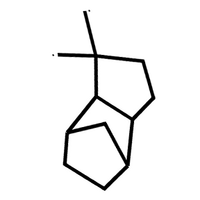 [CH2]C1([CH2])CCC2C3CCC(C3)C21